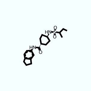 CCC(C)S(=O)(=O)N[C@H]1CC[C@H](C(=O)Nc2ccc3c(c2)CCC3)CC1